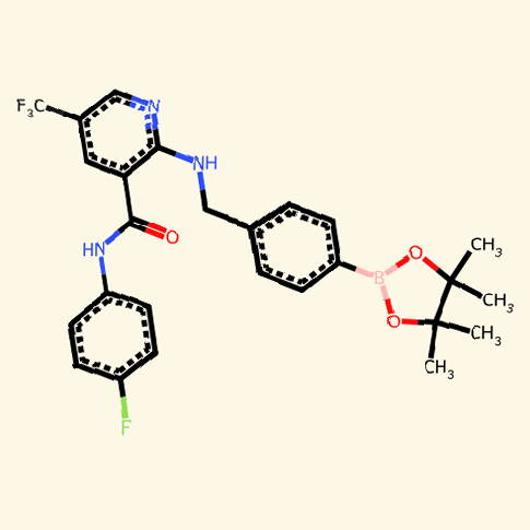 CC1(C)OB(c2ccc(CNc3ncc(C(F)(F)F)cc3C(=O)Nc3ccc(F)cc3)cc2)OC1(C)C